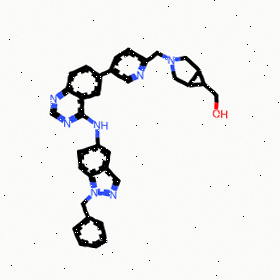 OCC1C2CN(Cc3ccc(-c4ccc5ncnc(Nc6ccc7c(cnn7Cc7ccccc7)c6)c5c4)cn3)CC12